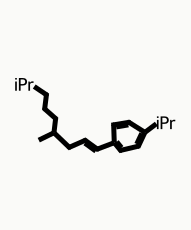 CC(C)CCCC(C)C/C=C/c1ccc(C(C)C)cc1